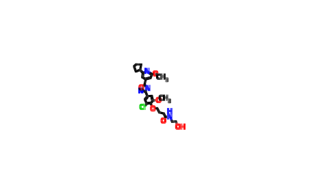 COc1cc(-c2nc(-c3cc(Cl)c(OCCCC(=O)NCCO)c(OC)c3)no2)cc(C2CCCC2)n1